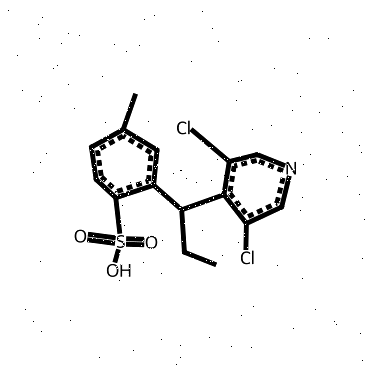 CCC(c1cc(C)ccc1S(=O)(=O)O)c1c(Cl)cncc1Cl